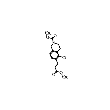 CC(C)(C)OC(=O)CCc1ccc2c(c1Cl)CCN(C(=O)OC(C)(C)C)C2